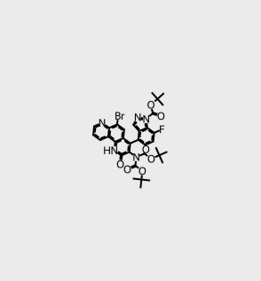 CC(C)(C)OC(=O)N(C(=O)OC(C)(C)C)c1c(-c2ccc(F)c3c2cnn3C(=O)OC(C)(C)C)c2cc(Br)c3ncccc3c2[nH]c1=O